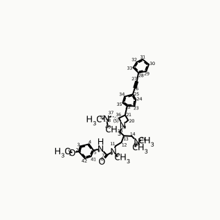 COc1ccc(NC(=O)N(C)CCC(CN(C)C)CN2CC(c3ccc(C#Cc4ccccc4)cc3)[C@H]2CN(C)C)cc1